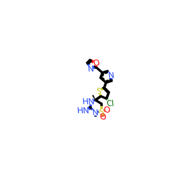 CN1C(=N)N[C@](C)(C2SC(c3cncc(-c4ncco4)c3)=CC2Cl)CS1(=O)=O